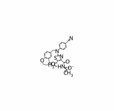 Cc1sc(N(Cc2ccc3c(c2)C(=O)CCO3)c2ccc(C#N)cc2)nc1C(=O)N[S+](C)[O-]